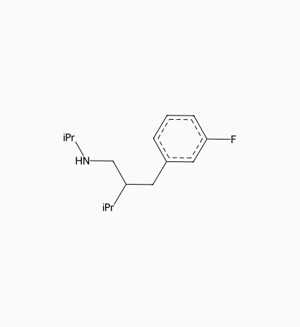 CC(C)NCC(Cc1cccc(F)c1)C(C)C